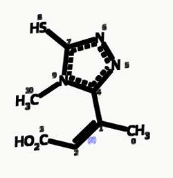 C/C(=C/C(=O)O)c1nnc(S)n1C